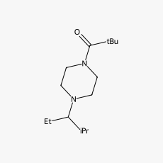 CCC(C(C)C)N1CCN(C(=O)C(C)(C)C)CC1